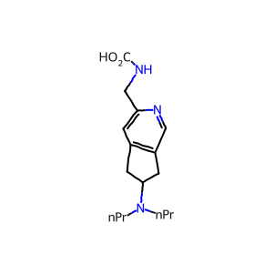 CCCN(CCC)C1Cc2cnc(CNC(=O)O)cc2C1